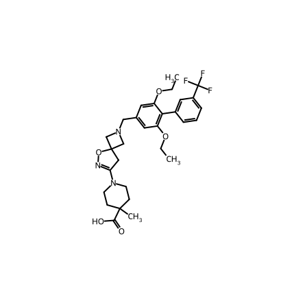 CCOc1cc(CN2CC3(CC(N4CCC(C)(C(=O)O)CC4)=NO3)C2)cc(OCC)c1-c1cccc(C(F)(F)F)c1